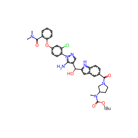 CN(C)C(=O)c1ccccc1Oc1ccc(-n2ncc(C(O)c3cc4cc(C(=O)N5CCC(N(C)C(=O)OC(C)(C)C)C5)ccc4[nH]3)c2N)c(Cl)c1